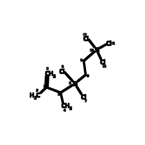 C=C(C)C(C)[Si](Cl)(Cl)CC[Si](Cl)(Cl)Cl